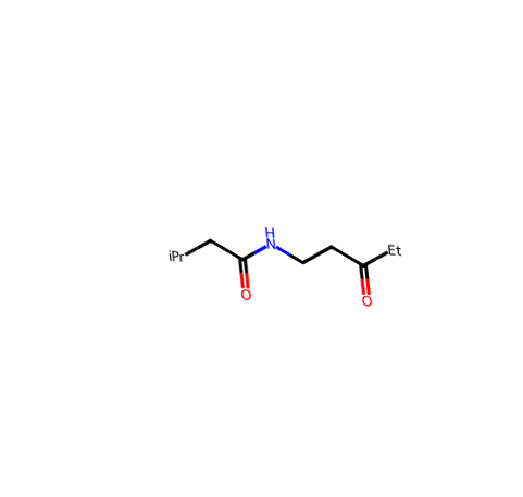 CCC(=O)CCNC(=O)CC(C)C